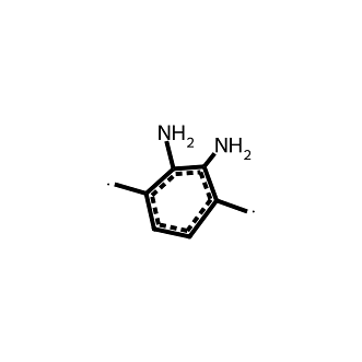 [CH2]c1ccc([CH2])c(N)c1N